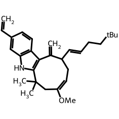 C=Cc1ccc2c3c([nH]c2c1)C(C)(C)C/C(OC)=C\CC(/C=C/CCC(C)(C)C)C3=C